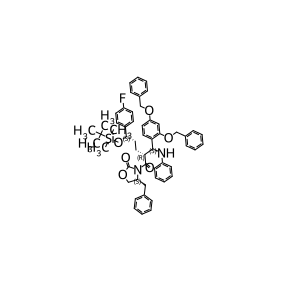 CC(C)(C)[Si](C)(C)O[C@@H](CC[C@@H](C(=O)N1C(=O)OC[C@@H]1Cc1ccccc1)[C@H](Nc1ccccc1)c1ccc(OCc2ccccc2)cc1OCc1ccccc1)c1ccc(F)cc1